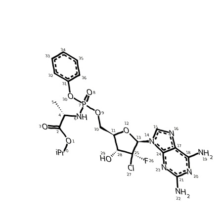 CC(C)OC(=O)[C@H](C)NP(=O)(OC[C@H]1O[C@@H](n2cnc3c(N)nc(N)nc32)[C@@](F)(Cl)[C@@H]1O)Oc1ccccc1